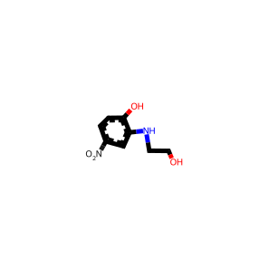 O=[N+]([O-])c1ccc(O)c(NCCO)c1